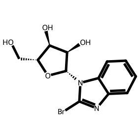 OC[C@H]1O[C@@H](n2c(Br)nc3ccccc32)[C@H](O)[C@@H]1O